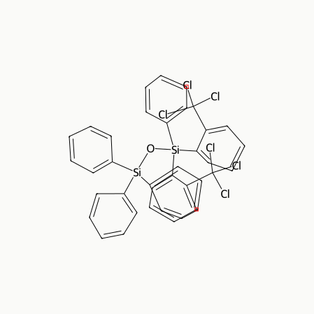 ClC(Cl)(Cl)c1ccccc1[Si](O[Si](c1ccccc1)(c1ccccc1)c1ccccc1)(c1ccccc1)c1ccccc1C(Cl)(Cl)Cl